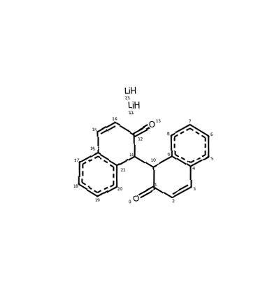 O=C1C=Cc2ccccc2C1C1C(=O)C=Cc2ccccc21.[LiH].[LiH]